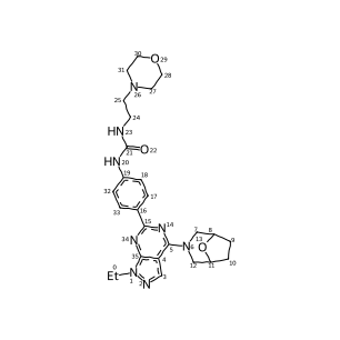 CCn1ncc2c(N3CC4CCC(C3)O4)nc(-c3ccc(NC(=O)NCCN4CCOCC4)cc3)nc21